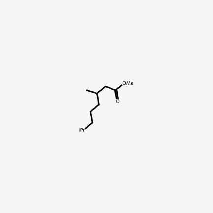 [CH2]OC(=O)CC(C)CCCC(C)C